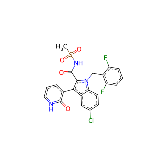 CS(=O)(=O)NC(=O)c1c(-c2ccc[nH]c2=O)c2cc(Cl)ccc2n1Cc1c(F)cccc1F